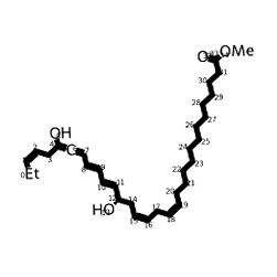 CC/C=C\CC(O)=C=C/C=C/C=C/[C@H](O)C/C=C\C/C=C\CCCCCCCCCCCCC(=O)OC